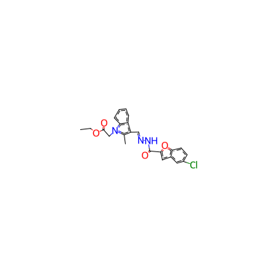 CCOC(=O)Cn1c(C)c(/C=N/NC(=O)c2cc3cc(Cl)ccc3o2)c2ccccc21